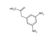 C=C(Cc1cc([N+](=O)[O-])cc([N+](=O)[O-])c1)C(=O)O